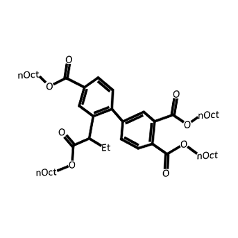 CCCCCCCCOC(=O)c1ccc(-c2ccc(C(=O)OCCCCCCCC)c(C(=O)OCCCCCCCC)c2)c(C(CC)C(=O)OCCCCCCCC)c1